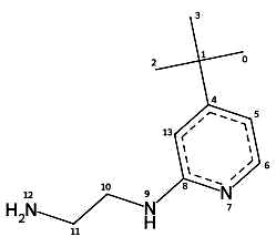 CC(C)(C)c1ccnc(NCCN)c1